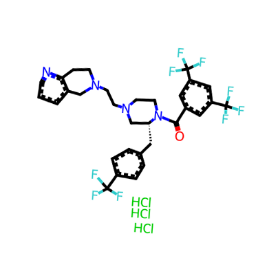 Cl.Cl.Cl.O=C(c1cc(C(F)(F)F)cc(C(F)(F)F)c1)N1CCN(CCN2CCc3ncccc3C2)C[C@H]1Cc1ccc(C(F)(F)F)cc1